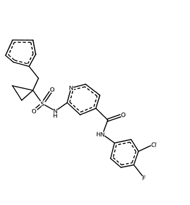 O=C(Nc1ccc(F)c(Cl)c1)c1ccnc(NS(=O)(=O)C2(Cc3ccccc3)CC2)c1